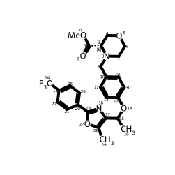 COC(=O)[C@@H]1COCCN1Cc1ccc(OC(C)c2nc(-c3ccc(C(F)(F)F)cc3)oc2C)cc1